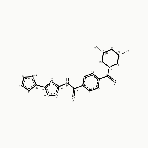 C[C@@H]1C[C@H](C)CN(C(=O)c2ccc(C(=O)Nc3nnc(-c4cccs4)o3)cc2)C1